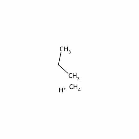 C.CCC.[H+]